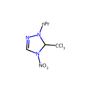 CCCN1N=CN([N+](=O)[O-])C1C(Cl)(Cl)Cl